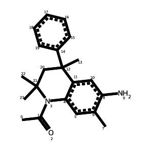 CC(=O)N1c2cc(C)c(N)cc2C(C)(c2ccccc2)CC1(C)C